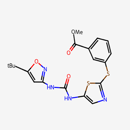 COC(=O)c1cccc(Sc2ncc(NC(=O)Nc3cc(C(C)(C)C)on3)s2)c1